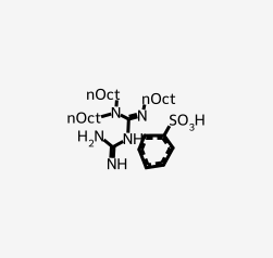 CCCCCCCCN=C(NC(=N)N)N(CCCCCCCC)CCCCCCCC.O=S(=O)(O)c1ccccc1